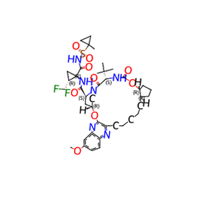 COc1ccc2nc3c(nc2c1)O[C@@H]1C[C@@H](C(=O)N[C@]2(C(=O)NS(=O)(=O)C4(C)CC4)C[C@H]2C(F)F)N(C1)C(=O)[C@H](C(C)(C)C)NC(=O)O[C@@H]1CCC[C@H]1CCCCC3